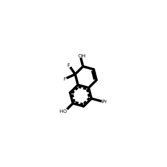 CC(C)c1cc(O)cc2c1C=CC(O)C2(F)F